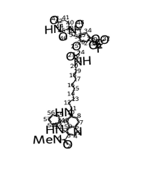 CNC(=O)c1cnc2ccc(NCCCCCCCCCCNC(=O)COc3cc(OS(=O)(=O)F)cc4c3CN(C3CCC(=O)NC3=O)C4=O)cc2c1Nc1ccccc1